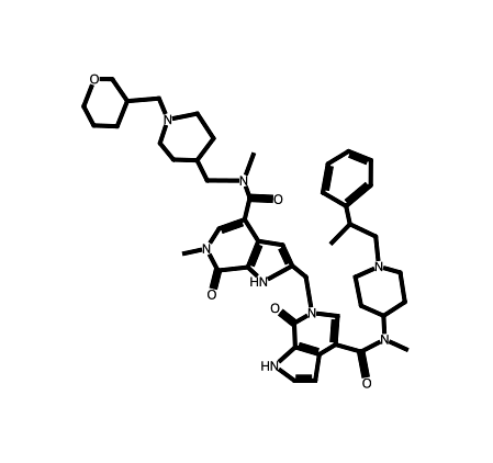 CC(CN1CCC(N(C)C(=O)c2cn(Cc3cc4c(C(=O)N(C)CC5CCN(CC6CCCOC6)CC5)cn(C)c(=O)c4[nH]3)c(=O)c3[nH]ccc23)CC1)c1ccccc1